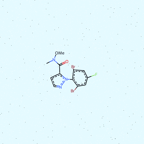 CON(C)C(=O)c1ccnn1-c1c(Br)cc(F)cc1Br